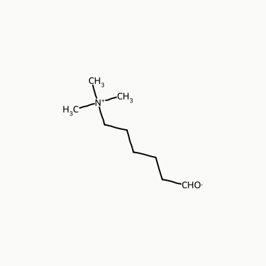 C[N+](C)(C)CCCCC[C]=O